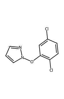 Clc1ccc(Cl)c(On2cc[c]n2)c1